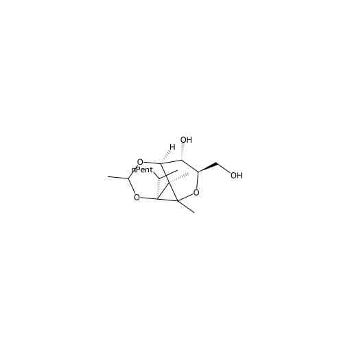 CCCCCC(C)[C@@]12OC(C)O[C@H]3[C@H](O)[C@@H](CO)OC1(C)[C@]32C